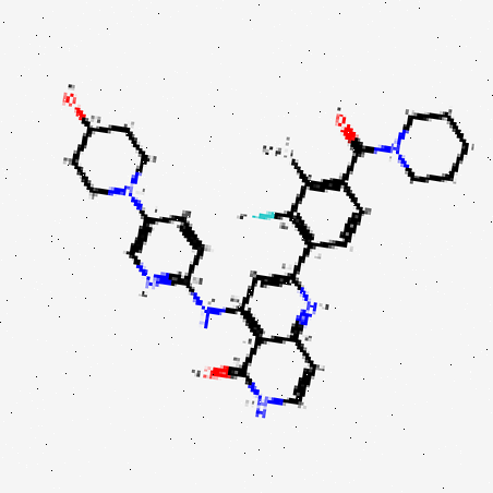 COc1c(C(=O)N2CCCCC2)ccc(-c2cc(Nc3ccc(N4CCC(O)CC4)cn3)c3c(=O)[nH]ccc3n2)c1F